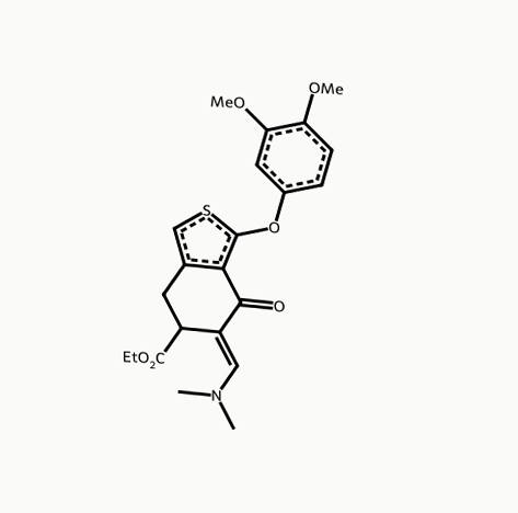 CCOC(=O)C1Cc2csc(Oc3ccc(OC)c(OC)c3)c2C(=O)C1=CN(C)C